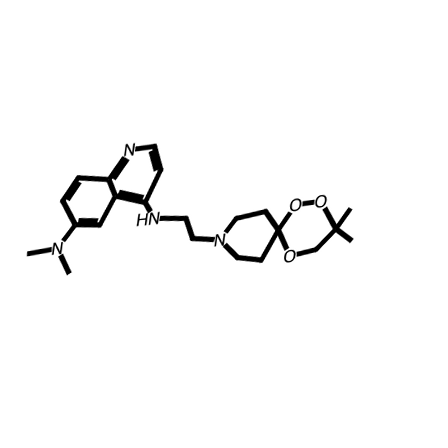 CN(C)c1ccc2nccc(NCCN3CCC4(CC3)OCC(C)(C)OO4)c2c1